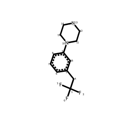 FC(F)(F)Cc1cccc(N2CC[N]CC2)c1